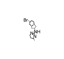 Cc1ccnc(NC2Cc3ccc(Br)cc3C2)n1